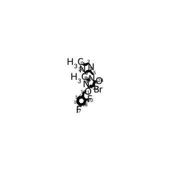 Cc1cnc(Cn2c(C)nc(OCc3ccc(F)cc3F)c(Br)c2=O)cn1